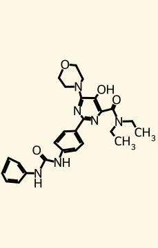 CCN(CC)C(=O)c1nc(-c2ccc(NC(=O)Nc3ccccc3)cc2)nc(N2CCOCC2)c1O